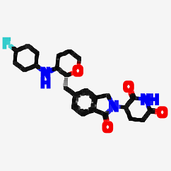 O=C1CCC(N2Cc3cc(C[C@H]4OCCC[C@@H]4NC4CCC(F)CC4)ccc3C2=O)C(=O)N1